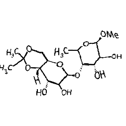 CO[C@@H]1OC(C)[C@@H](O[C@@H]2OC3COC(C)(C)O[C@H]3[C@@H](O)C2O)[C@@H](O)C1O